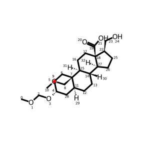 COCO[C@@H]1CC[C@@]2(COC)[C@@H](CC[C@@H]3[C@@H]2CC[C@]2(C(=O)O)[C@@H](CO)CC[C@@H]32)C1